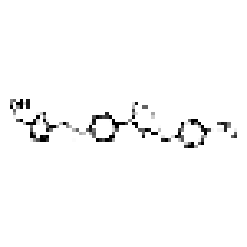 C/C(=N\OCc1ccc(C(F)(F)F)cc1)c1ccc(OCc2ccc(CO)o2)cc1